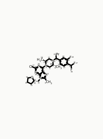 Cc1nc2c(N3C[C@@H](C)N(C(c4ccc(C(F)F)c(F)c4)C(C)C)C[C@@H]3C)nc(Cl)nc2n1C[C@@H]1CCCO1